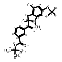 CN1c2cc(OC(F)(F)F)cc(Cl)c2CC1(Cl)C(=O)c1cccc(C(=O)OC(C)(C)C)c1